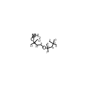 CC(C)(C)CC(C)(C)OCCC(C)(C)ON